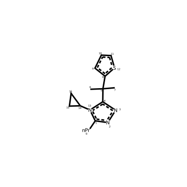 CCCc1nnc(C(C)(C)c2cccs2)n1C1CC1